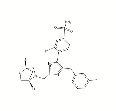 Cc1cccc(Cc2nc(CN3C[C@@H]4C[C@H]3CO4)nn2-c2ccc(S(N)(=O)=O)cc2F)c1